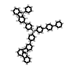 c1ccc(-c2ccc(-c3ccc(N(c4ccc(-c5ccc6c(c5)c5cccc7c8ccccc8n6c75)cc4)c4ccc(-c5ccc6c7ccccc7n(-c7ccccc7)c6c5)cc4)cc3)cc2)cc1